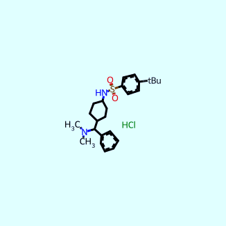 CN(C)C(c1ccccc1)C1CCC(NS(=O)(=O)c2ccc(C(C)(C)C)cc2)CC1.Cl